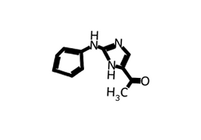 CC(=O)c1cnc(Nc2ccccc2)[nH]1